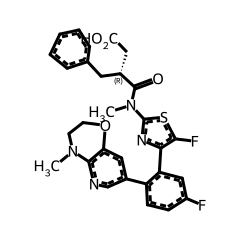 CN1CCOc2cc(-c3ccc(F)cc3-c3nc(N(C)C(=O)[C@@H](CC(=O)O)Cc4ccccc4)sc3F)cnc21